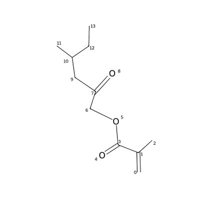 C=C(C)C(=O)OCC(=O)CC(C)CC